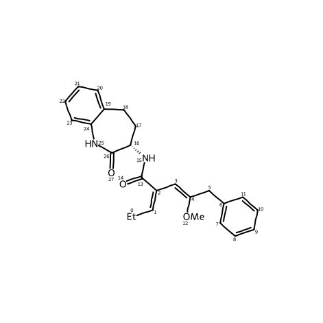 CC/C=C(/C=C(/Cc1ccccc1)OC)C(=O)N[C@H]1CCc2ccccc2NC1=O